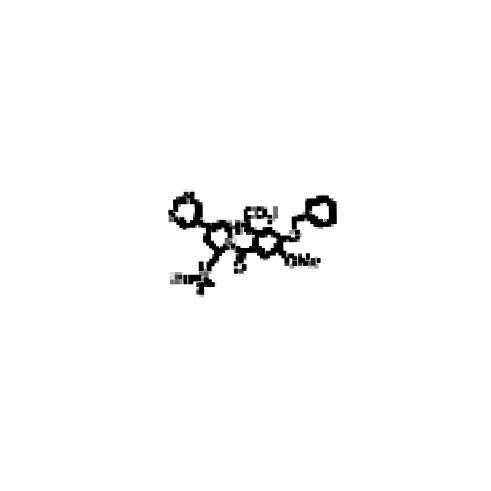 COc1cc(C(=O)N2CC=C(c3cncnc3)CC2CO[Si](C)(C)C(C)(C)C)c(NC(=O)O)cc1OCc1ccccc1